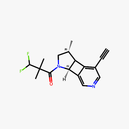 C#Cc1cncc2c1C1[C@@H]2N(C(=O)C(C)(C)C(F)F)C[C@@H]1C